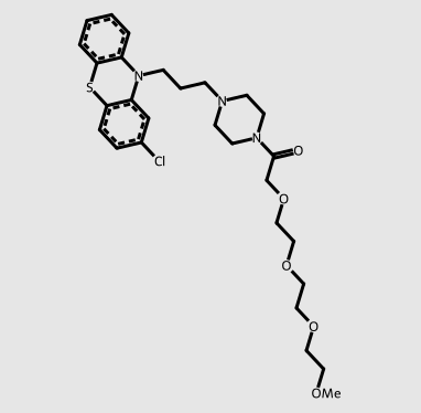 COCCOCCOCCOCC(=O)N1CCN(CCCN2c3ccccc3Sc3ccc(Cl)cc32)CC1